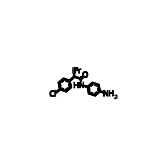 CC(C)C(C(=O)Nc1ccc(N)cc1)c1ccc(Cl)cc1